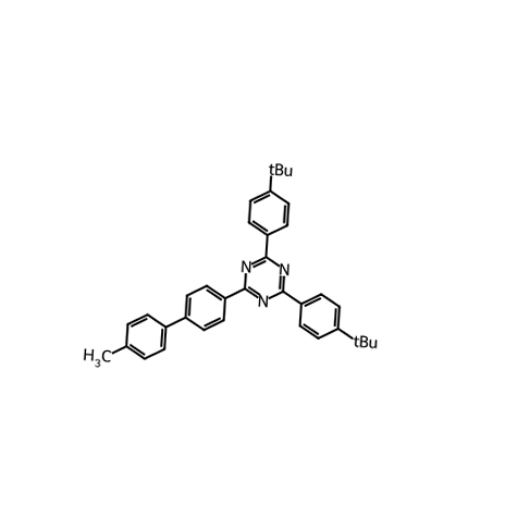 Cc1ccc(-c2ccc(-c3nc(-c4ccc(C(C)(C)C)cc4)nc(-c4ccc(C(C)(C)C)cc4)n3)cc2)cc1